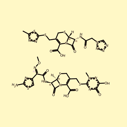 CO/N=C(\C(=O)N[C@@H]1C(=O)N2C(C(=O)O)=C(CSc3nc(=O)c(O)nn3C)CS[C@H]12)c1csc(N)n1.Cc1nnc(SCC2=C(C(=O)O)N3C(=O)[C@@H](NC(=O)Cn4cnnn4)[C@H]3SC2)s1